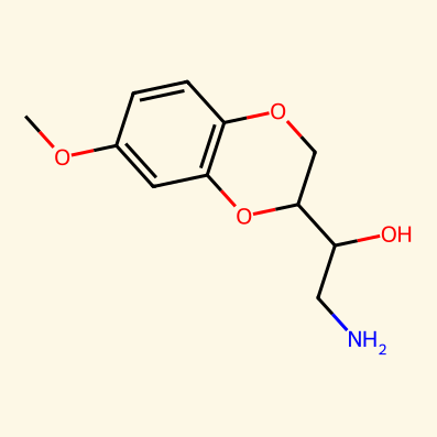 COc1ccc2c(c1)OC(C(O)CN)CO2